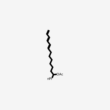 C=CC=CC=CCCCCCCC(CCC)OC(C)=O